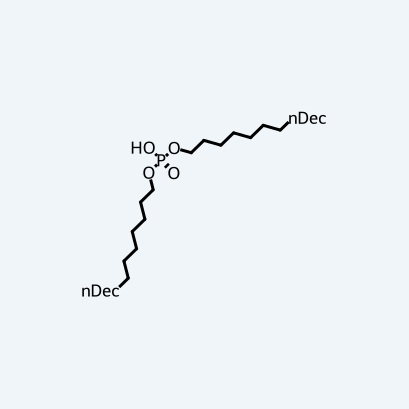 CCCCCCCCCCCCCCCCCOP(=O)(O)OCCCCCCCCCCCCCCCCC